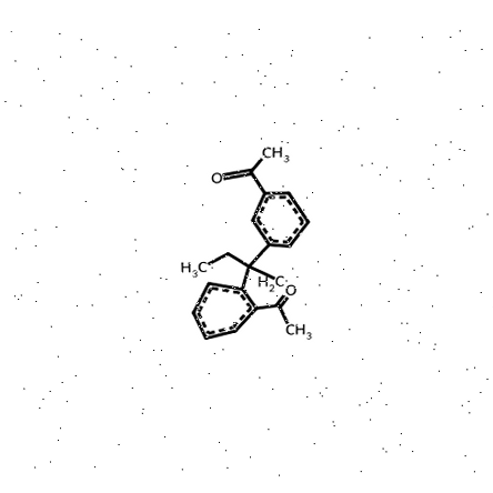 [CH2]C(CC)(c1cccc(C(C)=O)c1)c1ccccc1C(C)=O